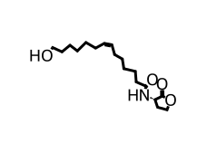 O=C(CCCCC/C=C\CCCCCCO)N[C@H]1CCOC1=O